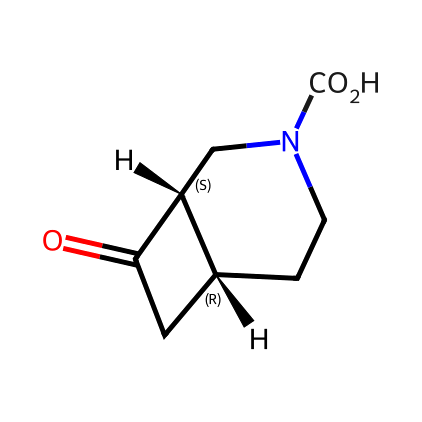 O=C1C[C@H]2CCN(C(=O)O)C[C@@H]12